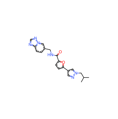 CC(C)Cn1cc(-c2ccc(C(=O)NCc3ccc4ncnn4c3)o2)cn1